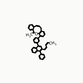 C=C1Oc2c(cccc2-c2cccc(-c3cc(/C=C\C=C/C)c(-c4ccccc4)c4ccccc34)c2)C/C=C\c2ccccc21